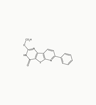 O=C(O)Oc1nc2c(sc3nc(-c4ccccc4)ccc32)c(=O)[nH]1